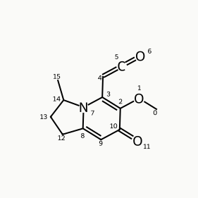 COc1c(C=C=O)n2c(cc1=O)CCC2C